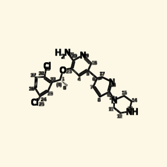 C[C@@H](Oc1cc(-c2ccc(N3CCNCC3)nc2)cnc1N)c1cc(Cl)ccc1Cl